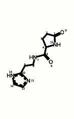 O=C1CCC(C(=O)NCCc2ncc[nH]2)N1